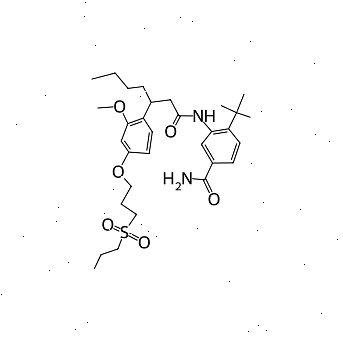 CCCCC(CC(=O)Nc1cc(C(N)=O)ccc1C(C)(C)C)c1ccc(OCCCS(=O)(=O)CCC)cc1OC